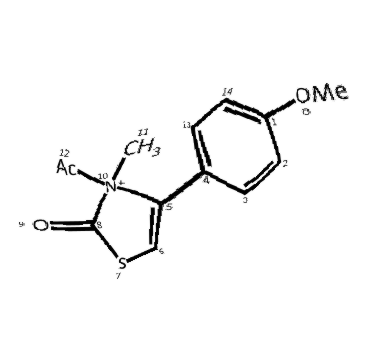 COc1ccc(C2=CSC(=O)[N+]2(C)C(C)=O)cc1